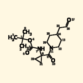 CC(C)(C)OC(=O)NC1(C(=O)N2CCC(CC=O)CC2)CC1